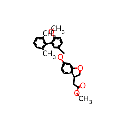 COC(=O)CC1COc2cc(OCc3ccc(OC)c(-c4c(C)cccc4C)c3)ccc21